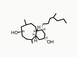 CCCC(C)CCC[C@@H]1C[C@H](O)C[C@@H]2C(C)CC[C@@H](O)CC(C)CC[C@H]12